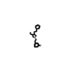 CCC1CN(CCc2cccc(F)c2)CC1CCC1C=CC=CC1